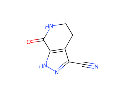 N#Cc1n[nH]c2c1CCNC2=O